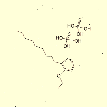 CCCCCCCCCc1ccccc1OCC.OP(O)(O)=S.OP(O)(O)=S